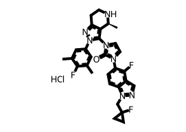 Cc1cc(-n2nc3c(c2-n2ccn(-c4ccc5c(cnn5CC5(F)CC5)c4F)c2=O)[C@H](C)NCC3)cc(C)c1F.Cl